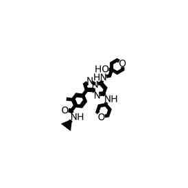 Cc1cc(-c2cnn3c(NCC4(O)CCOCC4)cc(NC4CCOCC4)nc23)ccc1C(=O)NC1CC1